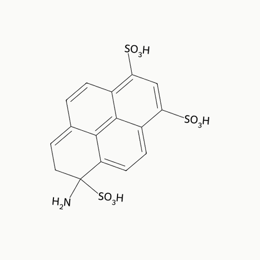 NC1(S(=O)(=O)O)CC=c2ccc3c(S(=O)(=O)O)cc(S(=O)(=O)O)c4ccc1c2c43